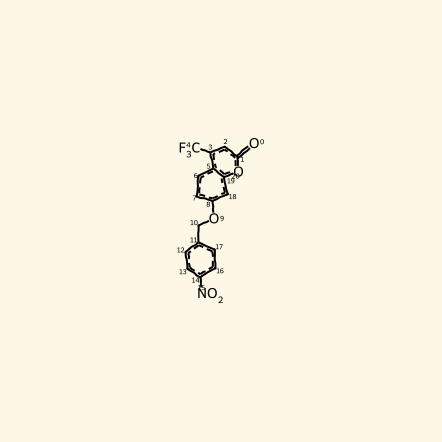 O=c1cc(C(F)(F)F)c2ccc(OCc3ccc([N+](=O)[O-])cc3)cc2o1